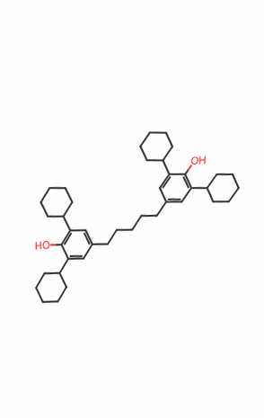 Oc1c(C2CCCCC2)cc(CCCCCc2cc(C3CCCCC3)c(O)c(C3CCCCC3)c2)cc1C1CCCCC1